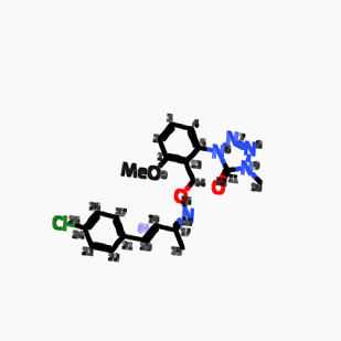 COc1cccc(-n2nnn(C)c2=O)c1CON=C(C)/C=C/c1ccc(Cl)cc1